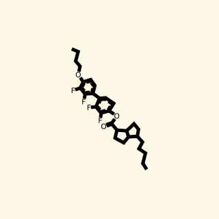 CCCCCC1CCC2C(C(=O)Oc3ccc(-c4ccc(OCCCC)c(F)c4F)c(F)c3F)CCC12